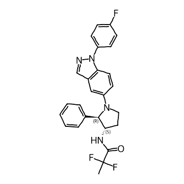 CC(F)(F)C(=O)N[C@H]1CCN(c2ccc3c(cnn3-c3ccc(F)cc3)c2)[C@@H]1c1ccccc1